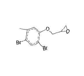 Cc1cc(OCC2CO2)c(Br)cc1Br